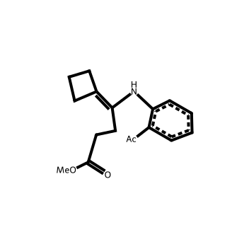 COC(=O)CCC(Nc1ccccc1C(C)=O)=C1CCC1